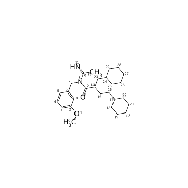 COc1cccc(CN(C(C)=N)C(=O)C(CCC2CCCCC2)CC2CCCCC2)c1